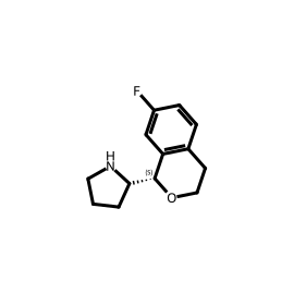 Fc1ccc2c(c1)[C@@H](C1CCCN1)OCC2